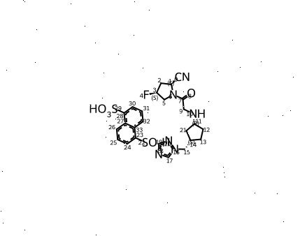 N#C[C@@H]1C[C@H](F)CN1C(=O)CN[C@@H]1CC[C@H](Cn2cncn2)C1.O=S(=O)(O)c1cccc2c(S(=O)(=O)O)cccc12